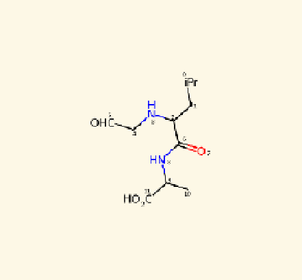 CC(C)CC(NCC=O)C(=O)NC(C)C(=O)O